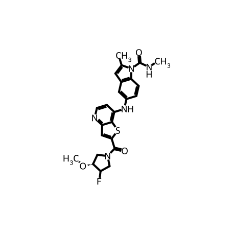 CNC(=O)n1c(C)cc2cc(Nc3ccnc4cc(C(=O)N5CC(F)[C@H](OC)C5)sc34)ccc21